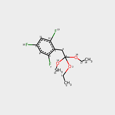 CCOC(Cc1c(F)cc(F)cc1F)(O[SiH3])OCC